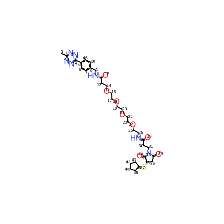 Cc1nnc(-c2ccc(CNC(=O)CCOCCOCCOCCOCCNC(=O)CCN3C(=O)CC(SC4CCCC4)C3=O)cc2)nn1